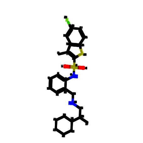 Cc1c(S(=O)(=O)Nc2ccccc2CNCC(C)C2CCCCC2)sc2ccc(F)cc12